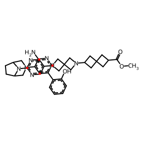 COC(=O)C1CC2(C1)CC(N1CC3(CN(c4cnc(N5C6CCC5CN(c5cc(-c7ccccc7O)nnc5N)C6)nc4)C3)C1)C2